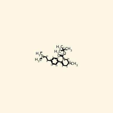 C[C@H]1CC=C(c2ccc(CCN(C)C)cc2)N(C(=O)OC(C)(C)C)C1